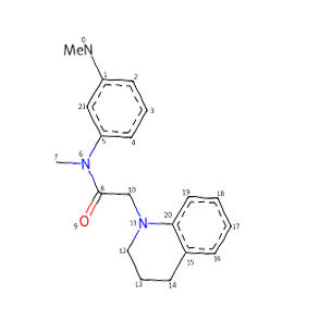 CNc1cccc(N(C)C(=O)CN2CCCc3ccccc32)c1